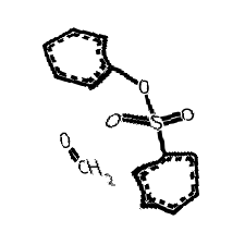 C=O.O=S(=O)(Oc1ccccc1)c1ccccc1